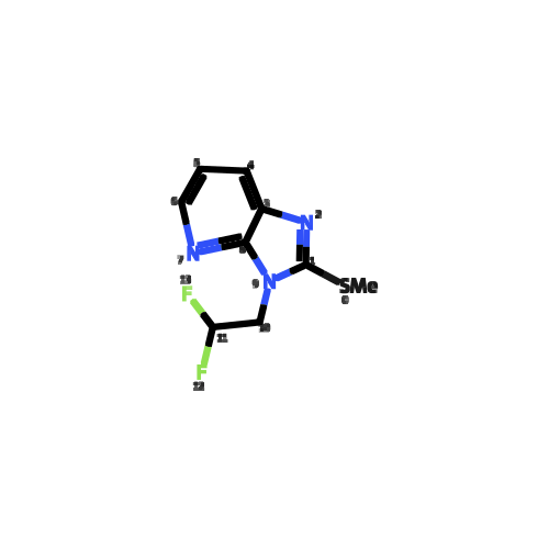 CSc1nc2cccnc2n1CC(F)F